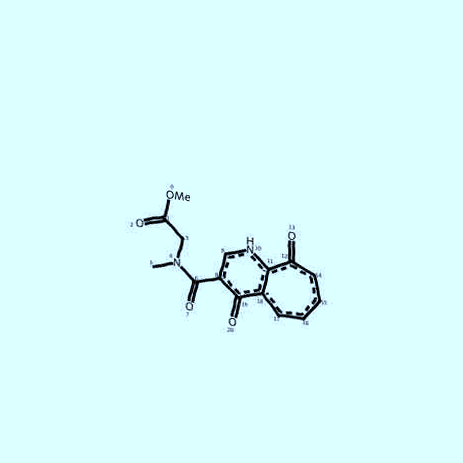 COC(=O)CN(C)C(=O)c1c[nH]c2c(=O)ccccc2c1=O